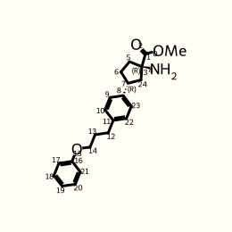 COC(=O)[C@@]1(N)CC[C@@H](c2ccc(CCCOc3ccccc3)cc2)C1